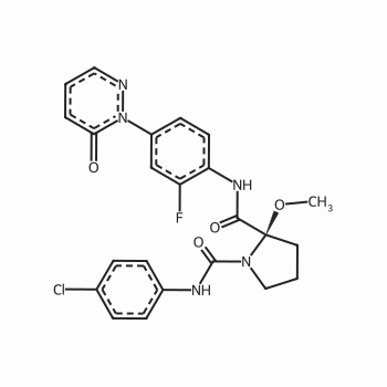 CO[C@@]1(C(=O)Nc2ccc(-n3ncccc3=O)cc2F)CCCN1C(=O)Nc1ccc(Cl)cc1